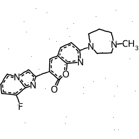 CN1CCCN(c2ccc3cc(-c4cn5cccc(F)c5n4)c(=O)oc3n2)CC1